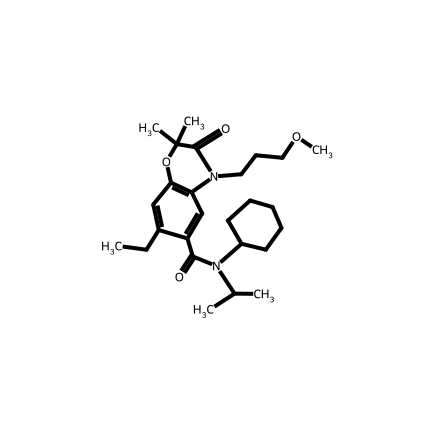 CCc1cc2c(cc1C(=O)N(C(C)C)C1CCCCC1)N(CCCOC)C(=O)C(C)(C)O2